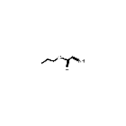 CCCOC(=O)C=N